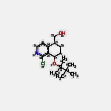 CC(C)(C)[Si](C)(C)OC1CC[C@H](CO)c2ccnc(Cl)c21